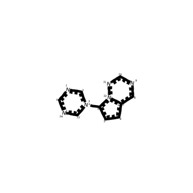 c1nc[n+](-c2ccc3cncnn23)cn1